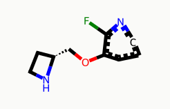 Fc1ncccc1OC[C@H]1CCN1